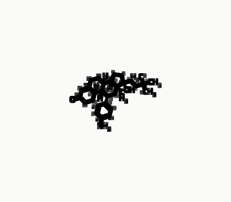 CC(C)(C)CC[C@]1(O)CC[C@H]2[C@@H]3CCC4=CC(=O)CC[C@@H]4[C@H]3[C@@H](c3ccc(N)cc3)C[C@@]21C